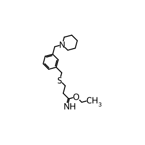 CCOC(=N)CCSCc1cccc(CN2CCCCC2)c1